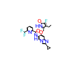 CC[C@@H]1[C@H](F)C(=O)N[C@@H]1COc1cc2nc(C3CC3)cn2cc1NC(=O)c1cccc(C(F)F)n1